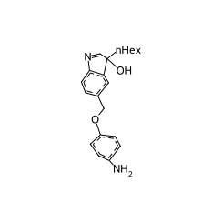 CCCCCCC1(O)C=Nc2ccc(COc3ccc(N)cc3)cc21